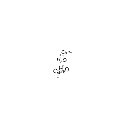 O.O.[Ca+2].[Ca+2]